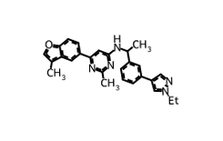 CCn1cc(-c2cccc(C(C)Nc3cc(-c4ccc5occ(C)c5c4)nc(C)n3)c2)cn1